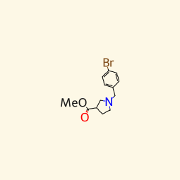 COC(=O)C1CCN(Cc2ccc(Br)cc2)C1